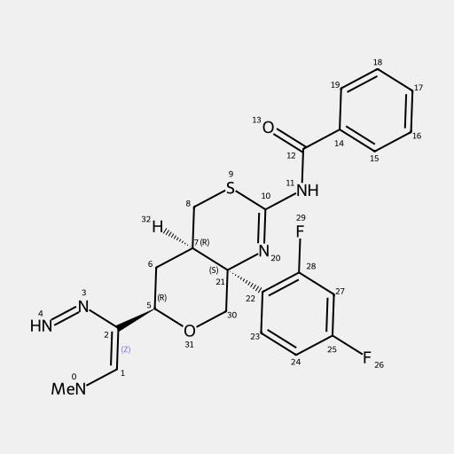 CN/C=C(\N=N)[C@H]1C[C@H]2CSC(NC(=O)c3ccccc3)=N[C@@]2(c2ccc(F)cc2F)CO1